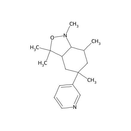 CC1CC(C)(c2cccnc2)CC2C1N(C)OC2(C)C